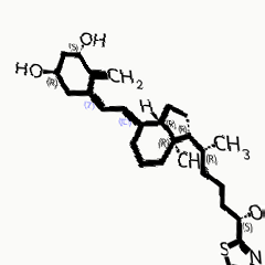 C=C1/C(=C\C=C2/CCC[C@]3(C)[C@@H]([C@H](C)CCC[C@H](O)c4nccs4)CC[C@@H]23)C[C@@H](O)C[C@@H]1O